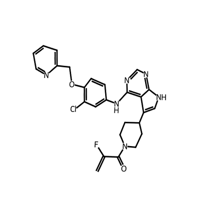 C=C(F)C(=O)N1CCC(c2c[nH]c3ncnc(Nc4ccc(OCc5ccccn5)c(Cl)c4)c23)CC1